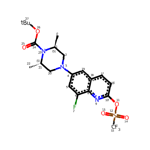 C[C@H]1CN(c2cc(F)c3nc(OS(=O)(=O)C(F)(F)F)ccc3c2)C[C@H](C)N1C(=O)OC(C)(C)C